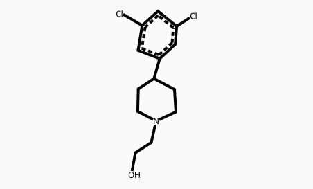 OCCN1CCC(c2cc(Cl)cc(Cl)c2)CC1